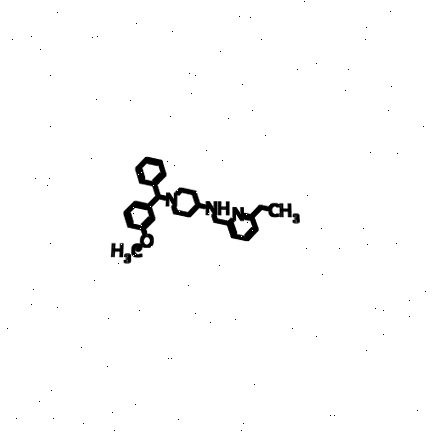 CCc1cccc(CNC2CCN(C(c3ccccc3)c3cccc(OC)c3)CC2)n1